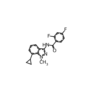 Cn1nc(NC(=O)c2ccc(F)cc2F)c2cccc(C3CC3)c21